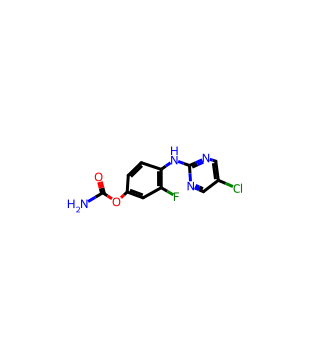 NC(=O)Oc1ccc(Nc2ncc(Cl)cn2)c(F)c1